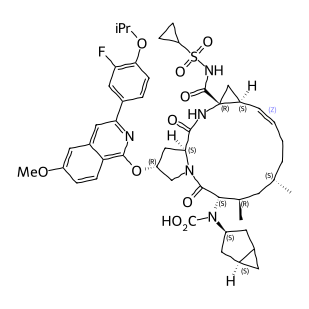 COc1ccc2c(O[C@@H]3C[C@H]4C(=O)N[C@]5(C(=O)NS(=O)(=O)C6CC6)C[C@H]5/C=C\CC[C@H](C)C[C@@H](C)[C@H](N(C(=O)O)[C@H]5CC6C[C@H]6C5)C(=O)N4C3)nc(-c3ccc(OC(C)C)c(F)c3)cc2c1